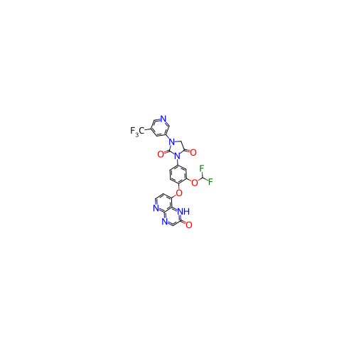 O=C1CN(c2cncc(C(F)(F)F)c2)C(=O)N1c1ccc(Oc2ccnc3ncc(=O)[nH]c23)c(OC(F)F)c1